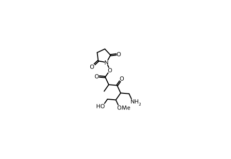 COC(CO)C(CN)C(=O)C(C)C(=O)ON1C(=O)CCC1=O